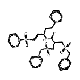 O=C(NC(C=CS(=O)(=O)c1ccccc1)CCc1ccccc1)C(CS(=O)(=O)Cc1ccccc1)CS(=O)(=O)Cc1ccccc1